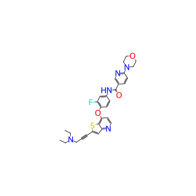 CCN(CC)CC#Cc1cc2nccc(Oc3ccc(NC(=O)c4ccc(N5CCOCC5)nc4)cc3F)c2s1